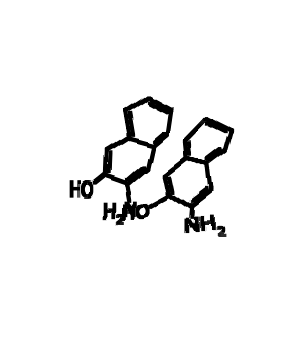 Nc1cc2ccccc2cc1O.Nc1cc2ccccc2cc1O